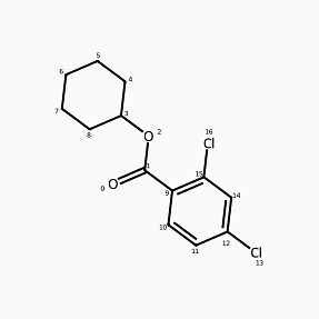 O=C(OC1CCCCC1)c1ccc(Cl)cc1Cl